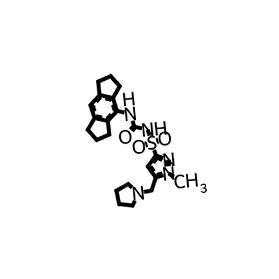 Cn1nc(S(=O)(=O)NC(=O)Nc2c3c(cc4c2CCC4)CCC3)cc1CN1CCCC1